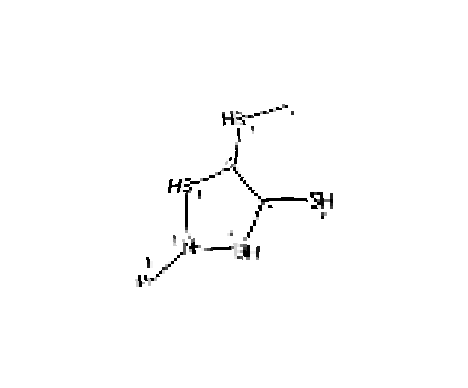 CBC1BN(C(C)C)BC1S